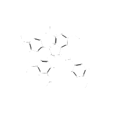 COc1ccc(CSC2c3cc(OC)cc(OC)c3[C@H](c3ccc(OC)cc3)[C@H]2c2cc(OC)cc(OC)c2)cc1